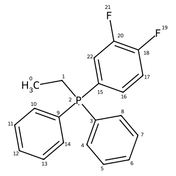 CC[P](c1ccccc1)(c1ccccc1)c1ccc(F)c(F)c1